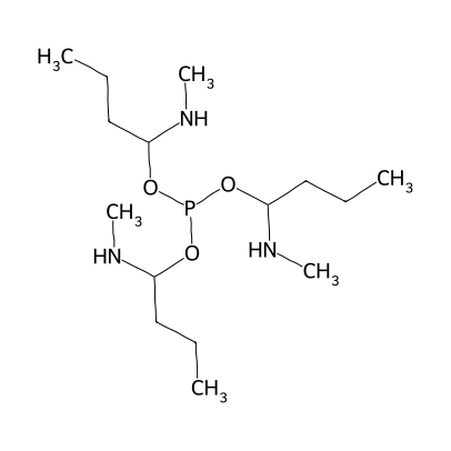 CCCC(NC)OP(OC(CCC)NC)OC(CCC)NC